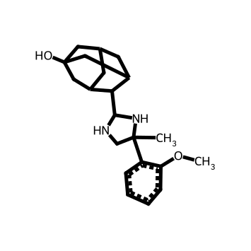 COc1ccccc1C1(C)CNC(C2C3CC4CC2CC(O)(C4)C3)N1